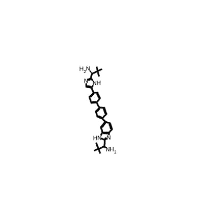 CC(C)(C)C(N)c1nc2ccc(-c3ccc(-c4ccc(-c5cnc([C@@H](N)C(C)(C)C)[nH]5)cc4)cc3)cc2[nH]1